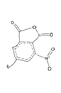 O=C1OC(=O)c2c1cc(Br)cc2[N+](=O)[O-]